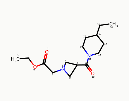 CCOC(=O)CN1CC(C(=O)N2CCC(CC)CC2)C1